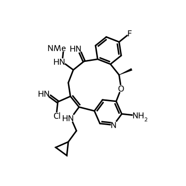 CNNC1C/C(C(=N)Cl)=C(/NCC2CC2)c2cnc(N)c(c2)O[C@H](C)c2cc(F)ccc2C1=N